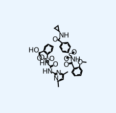 COc1ccccc1C(=O)NS(=O)(=O)c1ccc(C(=O)NC2CC2)cc1.Cc1cc(C)nc(NC(=O)NS(=O)(=O)c2ccccc2C(=O)O)n1